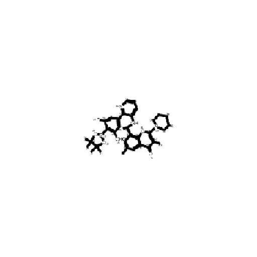 Cc1cc(C(C)Nc2cccnc2-c2cc(F)c(B3OC(C)(C)C(C)(C)O3)c(C=O)c2)c2oc(N3CCCCC3)c(C)c(=O)c2c1